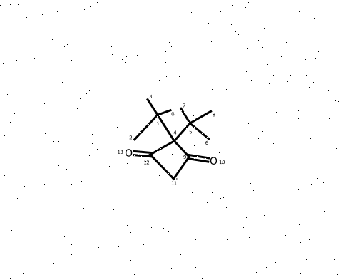 CC(C)(C)C1(C(C)(C)C)C(=O)[CH]C1=O